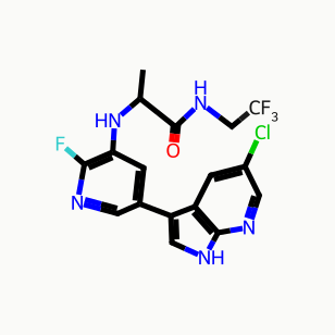 CC(Nc1cc(-c2c[nH]c3ncc(Cl)cc23)cnc1F)C(=O)NCC(F)(F)F